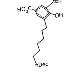 CCCCCCCCCCCCCCCCc1cc(C(=O)O)cc(C(C)(C)C)c1O